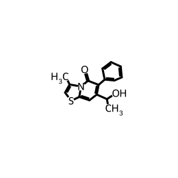 Cc1csc2cc(C(C)O)c(-c3ccccc3)c(=O)n12